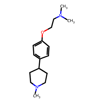 CN(C)CCOc1ccc(C2CCN(C)CC2)cc1